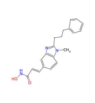 Cn1c(CCCc2ccccc2)nc2cc(C=CC(=O)NO)ccc21